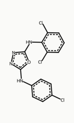 Clc1ccc(Nc2nnc(Nc3c(Cl)cccc3Cl)o2)cc1